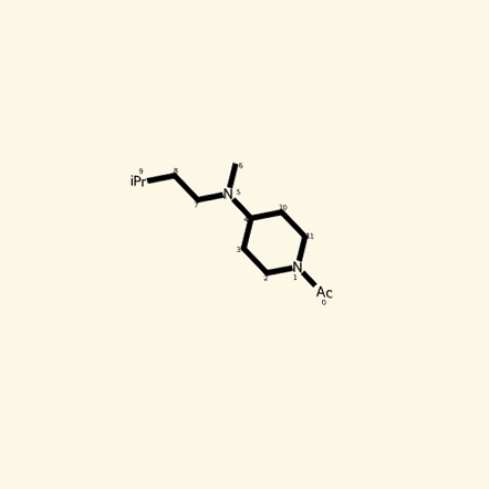 CC(=O)N1CCC(N(C)CCC(C)C)CC1